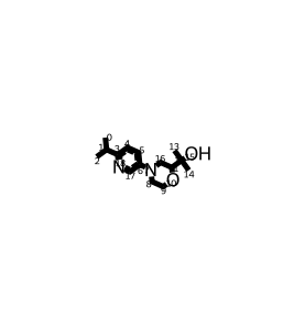 CC(C)c1ccc(N2CCOC(C(C)(C)O)C2)cn1